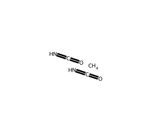 C.N=C=O.N=C=O